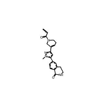 C=CC(=O)N1CCC=C(c2cc(-c3ccc4c(c3)CCNC4=O)n(C)n2)C1